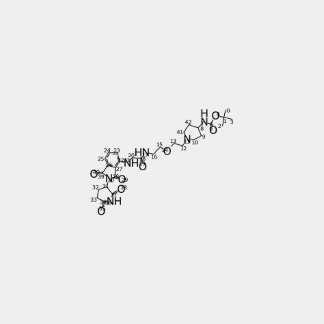 CC(C)(C)OC(=O)NC1CCN(CCOCCNC(=O)CNc2cccc3c2C(=O)N(C2CCC(=O)NC2=O)C3=O)CC1